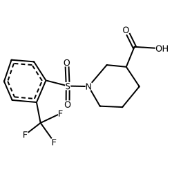 O=C(O)C1CCCN(S(=O)(=O)c2ccccc2C(F)(F)F)C1